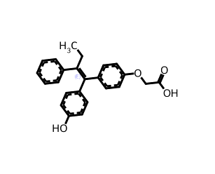 CC/C(=C(/c1ccc(O)cc1)c1ccc(OCC(=O)O)cc1)c1ccccc1